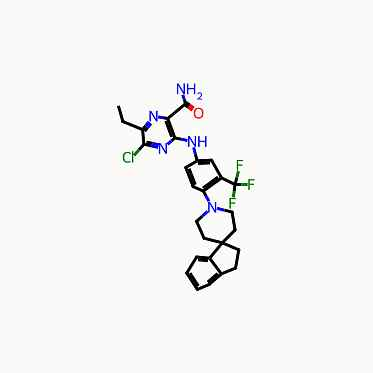 CCc1nc(C(N)=O)c(Nc2ccc(N3CCC4(CCc5ccccc54)CC3)c(C(F)(F)F)c2)nc1Cl